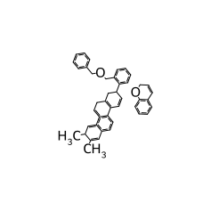 C1=Cc2ccccc2OC1.CC1=Cc2ccc3c(c2=CC1C)=CCC1=C3C=CC(c2ccccc2COCc2ccccc2)C1